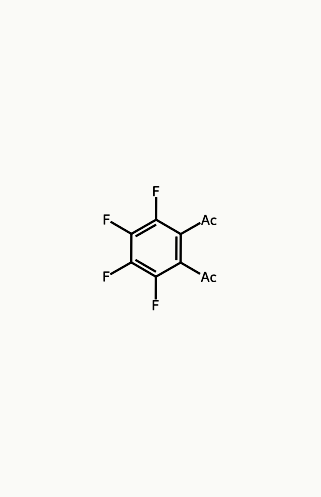 CC(=O)c1c(F)c(F)c(F)c(F)c1C(C)=O